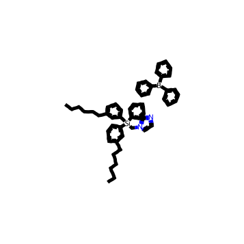 CCCCCCc1cccc([Si](Cn2ccnc2)(c2ccccc2)c2cccc(CCCCCC)c2)c1.c1ccc(B(c2ccccc2)c2ccccc2)cc1